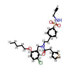 C#CCNS(=O)(=O)c1ccc(CCN(Cc2cc(Cl)ccc2OCCCCC)C(=O)Cc2ccsc2)cc1